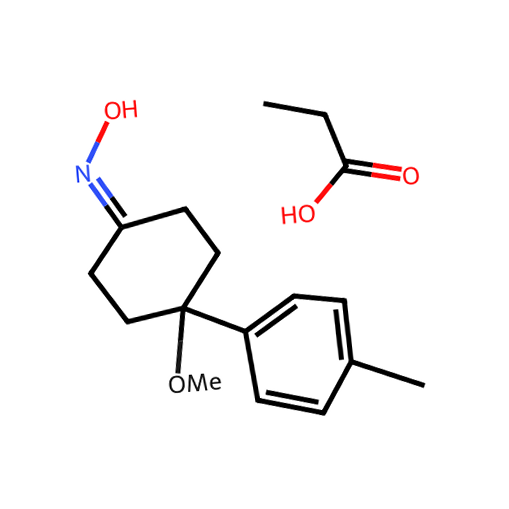 CCC(=O)O.COC1(c2ccc(C)cc2)CCC(=NO)CC1